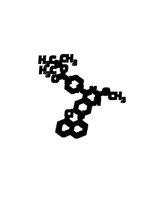 COc1nc2c(c(N3CCN(C(=O)OC(C)(C)C)CC3)n1)CCN(c1cccc3cccc(Cl)c13)C2